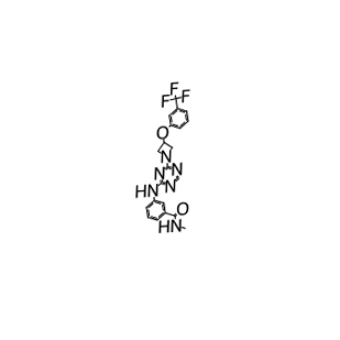 CNC(=O)c1cccc(Nc2ncnc(N3CC(Oc4cccc(C(F)(F)F)c4)C3)n2)c1